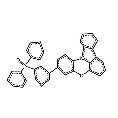 O=P(c1ccccc1)(c1ccccc1)c1cccc(-c2ccc3c(c2)Oc2cccc4c5ccccc5n-3c24)c1